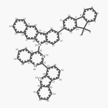 CC1(C)c2ccccc2-c2ccc(-c3ccc4c(c3)c3cc5ccccc5cc3n4-c3nc(-c4cccc5c4oc4ccccc45)nc4ccccc34)cc21